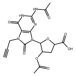 C#CCn1c(=O)n(C2OC(C(=O)O)CC2OC(C)=O)c2nc(NC(C)=O)[nH]c(=O)c21